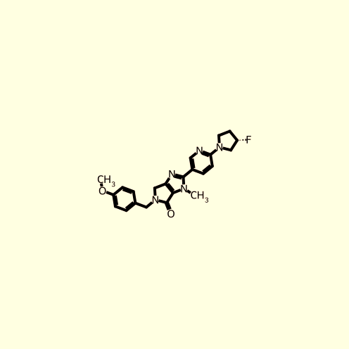 COc1ccc(CN2Cc3nc(-c4ccc(N5CC[C@H](F)C5)nc4)n(C)c3C2=O)cc1